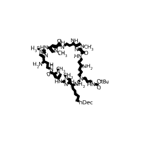 CCCCCCCCCCCCCCCC(N)c1cn(C)c(Nc2cc(C(=O)NCCC(N)c3cn(C)c(Nc4cc(C(=O)NCCC(N)c5cn(C)c(C(=O)NCCC(N)CCCN(C)CCCNC(=O)OC(C)(C)C)n5)n(C)c4)n3)n(C)c2)n1